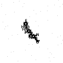 N#Cc1cc2c(Oc3ccc(NC(=O)Nc4ccc(F)cc4)c(F)c3)ccnc2cc1OC[C@H]1CO1